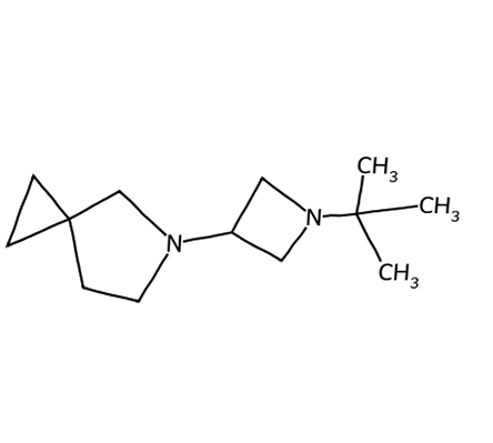 CC(C)(C)N1CC(N2CCC3(CC3)C2)C1